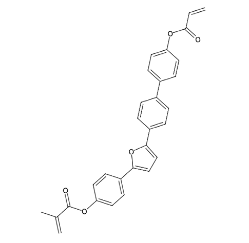 C=CC(=O)Oc1ccc(-c2ccc(-c3ccc(-c4ccc(OC(=O)C(=C)C)cc4)o3)cc2)cc1